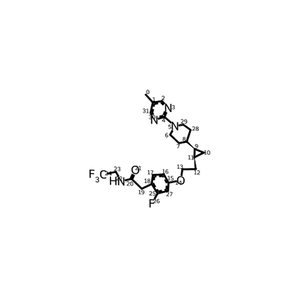 Cc1cnc(N2CCC([C@H]3C[C@H]3CCOc3ccc(CC(=O)NCC(F)(F)F)c(F)c3)CC2)nc1